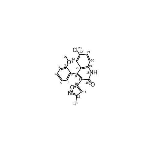 COc1ccccc1-c1c(-c2cc(C)no2)c(=O)[nH]c2ccc(Cl)cc12